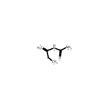 C=C(CC)NC(N)=O